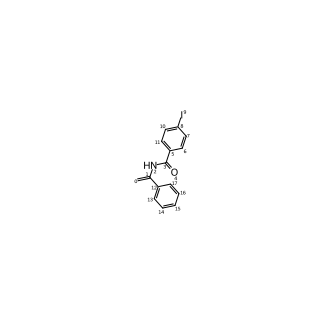 C=C(NC(=O)c1ccc(I)cc1)c1ccccc1